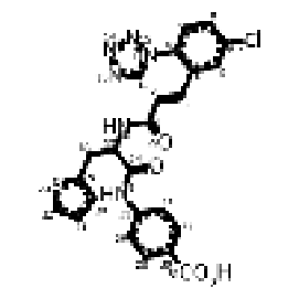 O=C(C=Cc1cc(Cl)ccc1-n1cnnn1)NC(Cc1cccs1)C(=O)Nc1ccc(C(=O)O)cc1